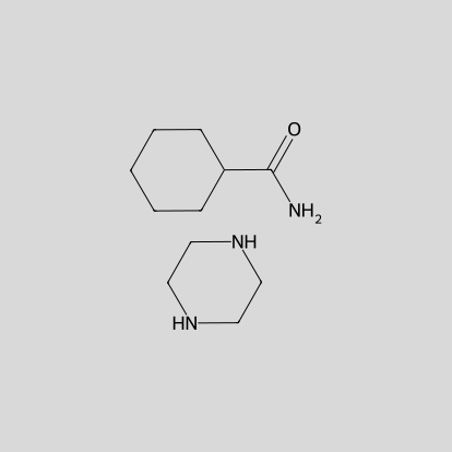 C1CNCCN1.NC(=O)C1CCCCC1